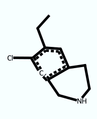 CCc1cc2c(cc1Cl)CNCC2